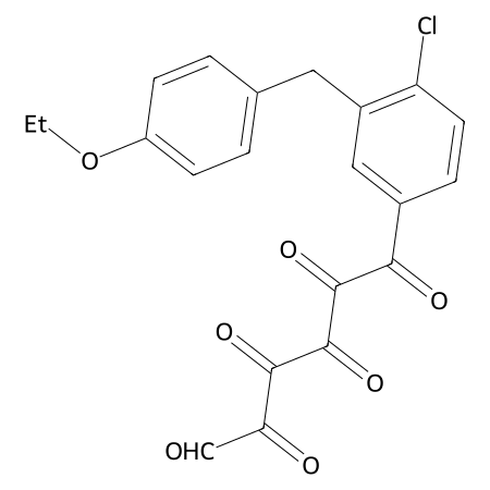 CCOc1ccc(Cc2cc(C(=O)C(=O)C(=O)C(=O)C(=O)C=O)ccc2Cl)cc1